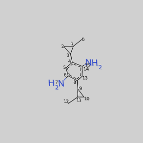 CC1CC1c1cc(N)c(C2CC2C)cc1N